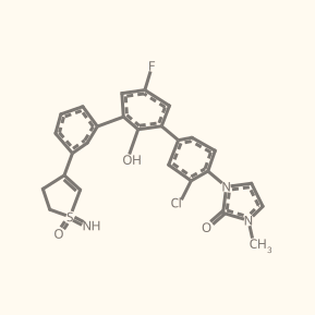 Cn1ccn(-c2ccc(-c3cc(F)cc(-c4cccc(C5=CS(=N)(=O)CC5)c4)c3O)cc2Cl)c1=O